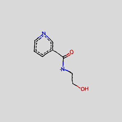 O=C([N]CCO)c1cccnc1